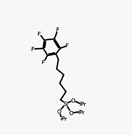 CC(C)O[Si](CCCCCCc1c(F)c(F)c(F)c(F)c1F)(OC(C)C)OC(C)C